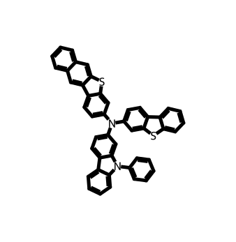 c1ccc(-n2c3ccccc3c3ccc(N(c4ccc5c(c4)sc4ccccc45)c4ccc5c(c4)sc4cc6ccccc6cc45)cc32)cc1